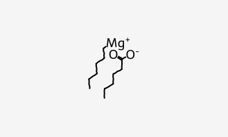 CCCCCC(=O)[O-].CCCCC[CH2][Mg+]